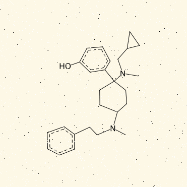 CN(CCc1ccccc1)C1CCC(c2cccc(O)c2)(N(C)CC2CC2)CC1